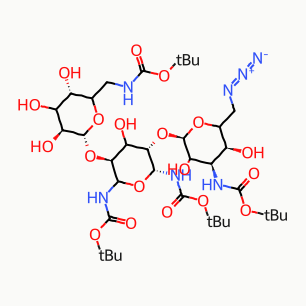 CC(C)(C)OC(=O)NCC1O[C@H](O[C@@H]2C(NC(=O)OC(C)(C)C)O[C@@H](NC(=O)OC(C)(C)C)[C@@H](O[C@H]3OC(CN=[N+]=[N-])[C@@H](O)[C@@H](NC(=O)OC(C)(C)C)C3O)C2O)[C@@H](O)C(O)[C@@H]1O